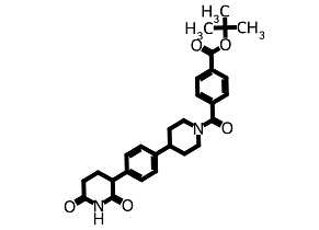 CC(C)(C)OC(=O)c1ccc(C(=O)N2CCC(c3ccc(C4CCC(=O)NC4=O)cc3)CC2)cc1